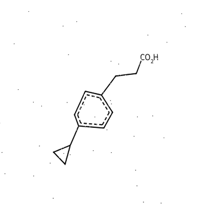 O=C(O)CCc1ccc(C2CC2)cc1